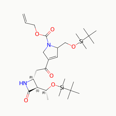 C=CCOC(=O)N1CC(C(=O)C[C@H]2NC(=O)[C@@H]2[C@@H](C)O[Si](C)(C)C(C)(C)C)=CC1CO[Si](C)(C)C(C)(C)C